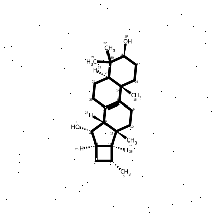 C[C@@H]1C[C@H]2[C@H](O)[C@@H]3C4=C(CC[C@]3(C)[C@H]21)[C@@]1(C)CC[C@H](O)C(C)(C)[C@@H]1CC4